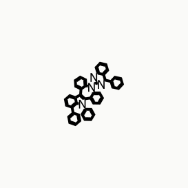 c1ccc(-c2nc(N3c4ccccc4-c4c(n(-c5ccccc5)c5c(-c6ccccc6)cccc45)-c4ccccc43)nc3ccccc23)cc1